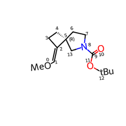 COC=C1CC[C@@]12CCN(C(=O)OC(C)(C)C)C2